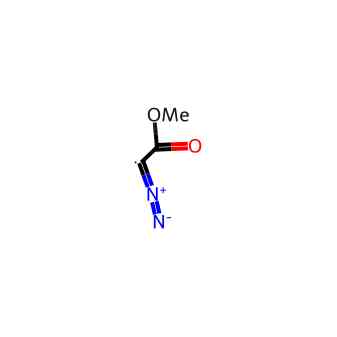 COC(=O)[C]=[N+]=[N-]